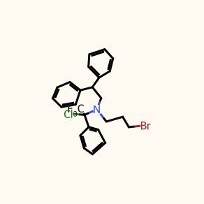 FC(F)(F)C(Cl)(c1ccccc1)N(CCCBr)CC(c1ccccc1)c1ccccc1